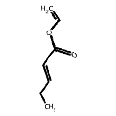 C=COC(=O)C=CCC